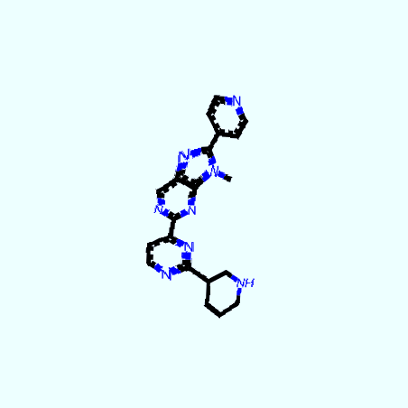 Cn1c(-c2ccncc2)nc2cnc(-c3ccnc(C4CCCNC4)n3)nc21